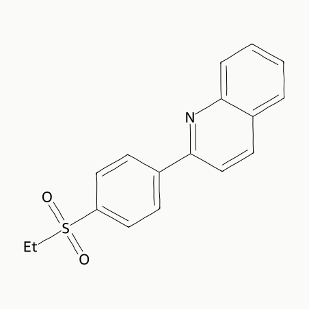 CCS(=O)(=O)c1ccc(-c2ccc3ccccc3n2)cc1